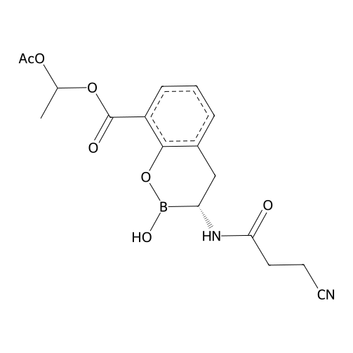 CC(=O)OC(C)OC(=O)c1cccc2c1OB(O)[C@@H](NC(=O)CCC#N)C2